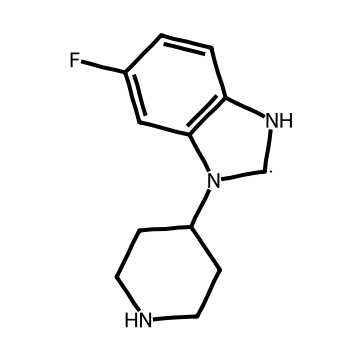 Fc1ccc2c(c1)N(C1CCNCC1)[CH]N2